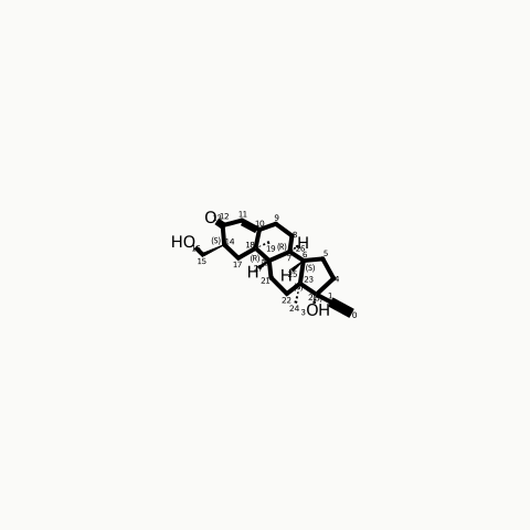 C#C[C@]1(O)CC[C@H]2[C@@H]3CCC4=CC(=O)[C@H](CO)C[C@]4(C)[C@H]3CC[C@@]21C